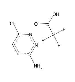 Nc1ccc(Cl)nn1.O=C(O)C(F)(F)F